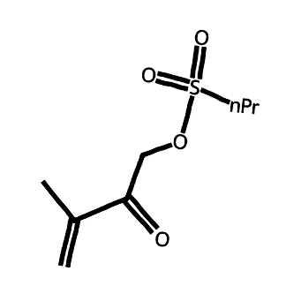 C=C(C)C(=O)COS(=O)(=O)CCC